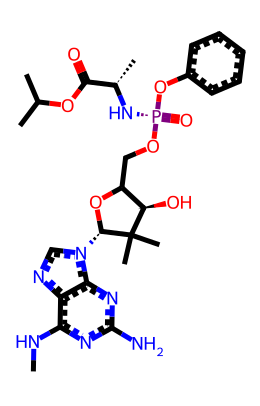 CNc1nc(N)nc2c1ncn2[C@@H]1OC(CO[P@@](=O)(N[C@@H](C)C(=O)OC(C)C)Oc2ccccc2)[C@@H](O)C1(C)C